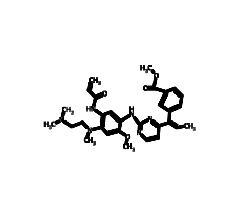 C=CC(=O)Nc1cc(Nc2nccc(/C(=C/C)c3cccc(C(=O)OC)c3)n2)c(OC)cc1N(C)CCN(C)C